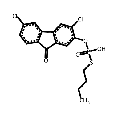 CCCCSP(=O)(O)Oc1cc2c(cc1Cl)-c1cc(Cl)ccc1C2=O